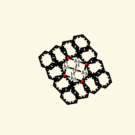 c1ccc([AsH](c2ccccc2)(c2ccccc2)[Ni]([AsH](c2ccccc2)(c2ccccc2)c2ccccc2)([AsH](c2ccccc2)(c2ccccc2)c2ccccc2)[AsH](c2ccccc2)(c2ccccc2)c2ccccc2)cc1